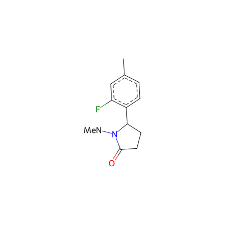 CNN1C(=O)CCC1c1ccc(C)cc1F